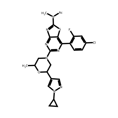 CC(=O)N(C)c1nc2nc(N3CC(C)OC(c4cnn(C5CC5)c4)C3)nc(-c3ccc(Cl)cc3F)c2s1